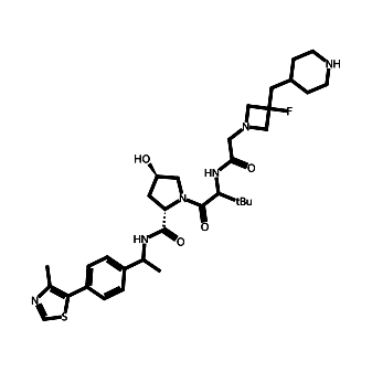 Cc1ncsc1-c1ccc(C(C)NC(=O)[C@@H]2C[C@@H](O)CN2C(=O)C(NC(=O)CN2CC(F)(CC3CCNCC3)C2)C(C)(C)C)cc1